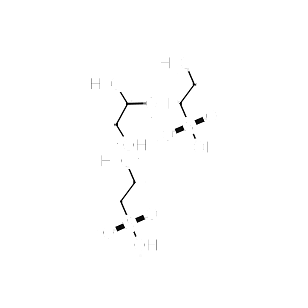 CC(O)CO.CCCS(=O)(=O)O.CCCS(=O)(=O)O